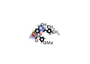 COc1ccc(COc2cc(CN(C)c3nc(-c4ccc(C)cc4C)c[nH]3)cc(F)c2N2CC(=O)NS2(=O)=O)cc1